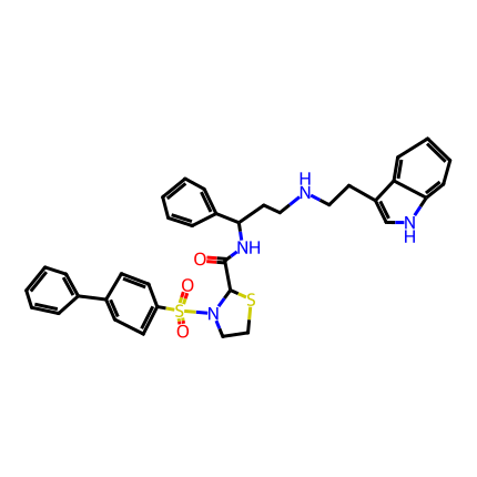 O=C(NC(CCNCCc1c[nH]c2ccccc12)c1ccccc1)C1SCCN1S(=O)(=O)c1ccc(-c2ccccc2)cc1